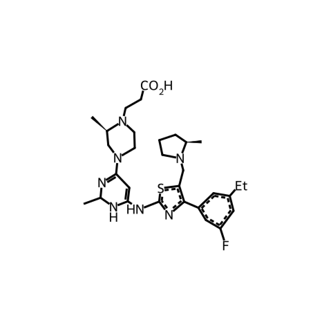 CCc1cc(F)cc(-c2nc(NC3=CC(N4CCN(CCC(=O)O)[C@H](C)C4)=NC(C)N3)sc2CN2CCC[C@H]2C)c1